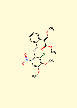 CO/C=C(/C(=O)OC)c1ccccc1/C=C/c1c([N+](=O)[O-])cc(OC)c(OC)c1Cl